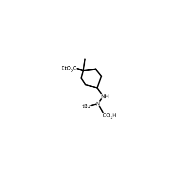 CCOC(=O)C1(C)CCC(NN(C(=O)O)C(C)(C)C)CC1